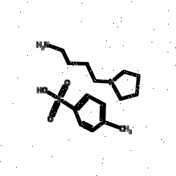 Cc1ccc(S(=O)(=O)O)cc1.NCCCCN1CCCC1